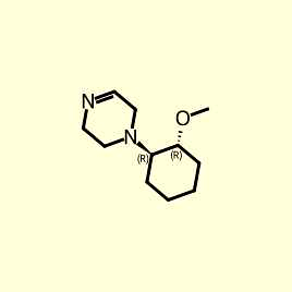 CO[C@@H]1CCCC[C@H]1N1CC=NCC1